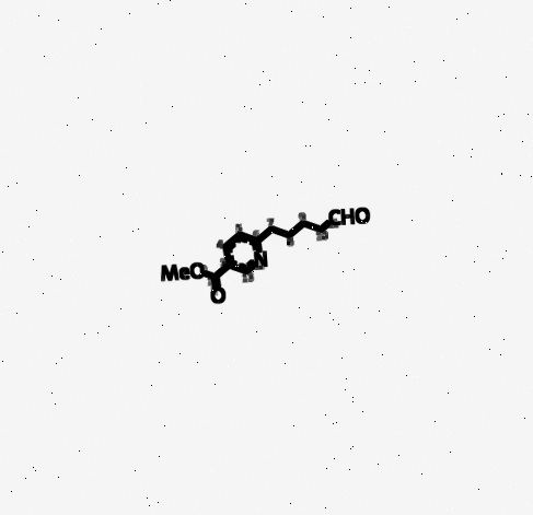 COC(=O)c1ccc(CCCCC=O)nc1